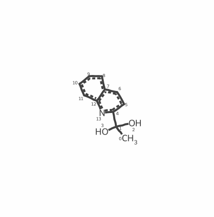 CC(O)(O)c1ccc2ccccc2n1